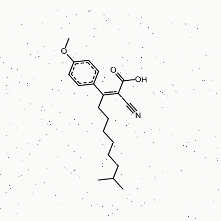 COc1ccc(C(CCCCCCC(C)C)=C(C#N)C(=O)O)cc1